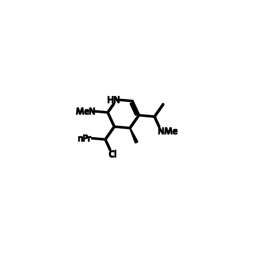 CCCC(Cl)C1C(NC)NC=C(C(C)NC)[C@H]1C